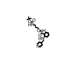 CC(C)(C)OC(=O)NCCCONC(=O)c1ccccc1NCc1ccncc1